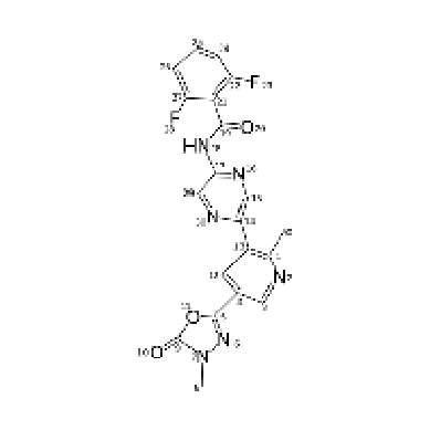 Cc1ncc(-c2nn(C)c(=O)o2)cc1-c1cnc(NC(=O)c2c(F)cccc2F)cn1